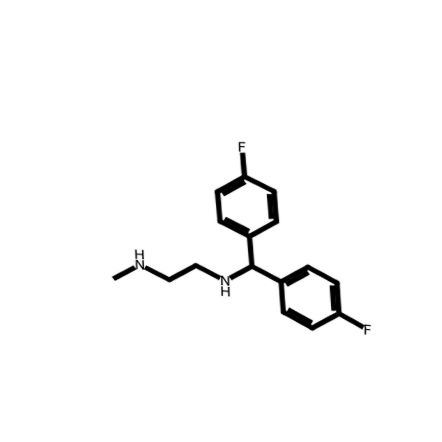 CNCCNC(c1ccc(F)cc1)c1ccc(F)cc1